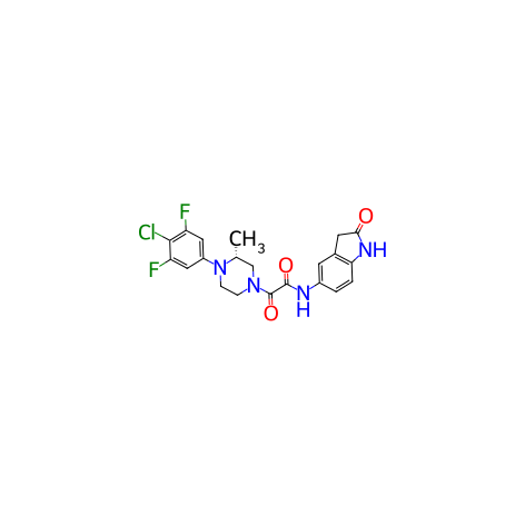 C[C@@H]1CN(C(=O)C(=O)Nc2ccc3c(c2)CC(=O)N3)CCN1c1cc(F)c(Cl)c(F)c1